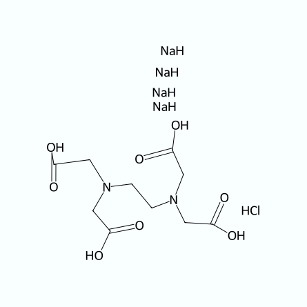 Cl.O=C(O)CN(CCN(CC(=O)O)CC(=O)O)CC(=O)O.[NaH].[NaH].[NaH].[NaH]